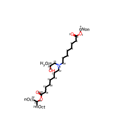 CCCCCCCCCOC(=O)CCCCCCCN(CCCCCCCC(=O)OC(CCCCCCCC)CCCCCCCC)C[C@@H](C)O